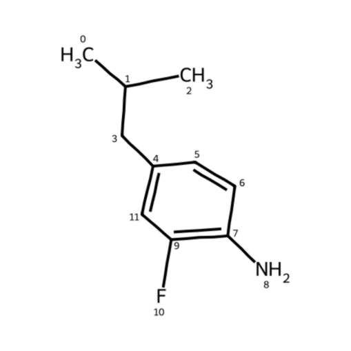 CC(C)Cc1ccc(N)c(F)c1